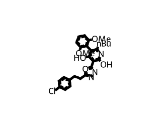 CCCCc1nc(O)c(-c2nnc(CCc3ccc(Cl)cc3)o2)c(O)c1-c1c(OC)cccc1OC